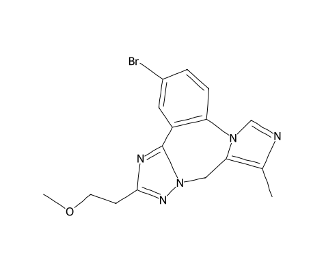 COCCc1nc2n(n1)Cc1c(C)ncn1-c1ccc(Br)cc1-2